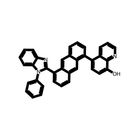 Oc1ccc(-c2cccc3cc4c(-c5nc6ccccc6n5-c5ccccc5)cccc4cc23)c2cccnc12